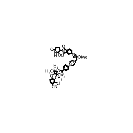 COC1(CN2CCN(c3ccc(C(=O)N[C@H]4C(C)(C)[C@H](Oc5ccc(C#N)c(Cl)c5)C4(C)C)cc3)CC2)CN(c2ccc3c(c2)C(=O)N(C2CCC(=O)NC2=O)C3=O)C1